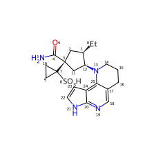 CC[C@@H]1C[C@](C(N)=O)(C2(S(=O)(=O)O)CC2)C[C@@H]1N1CCCc2cnc3[nH]ccc3c21